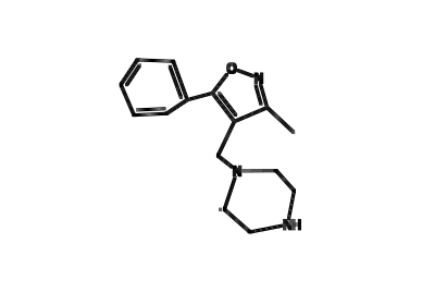 Cc1noc(-c2ccccc2)c1CN1[CH]CNCC1